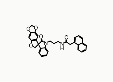 O=C(Cc1cccc2ccccc12)NCCCN1C(=O)C2(COc3cc4c(cc32)OCO4)c2ccccc21